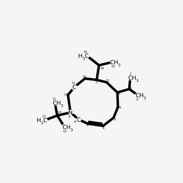 CC(C)C1CCC=CCN(C(C)(C)C)CCCC(C(C)C)C1